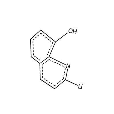 [Li][c]1ccc2cccc(O)c2n1